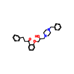 O=C(CCc1ccccc1)c1ccccc1OCC(O)CN1CCN(Cc2ccccc2)CC1